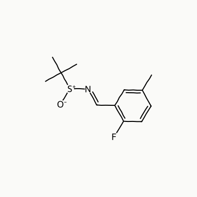 Cc1ccc(F)c(C=N[S+]([O-])C(C)(C)C)c1